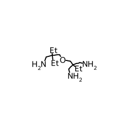 CCC(CC)(CN)COCC(CC)(CN)CN